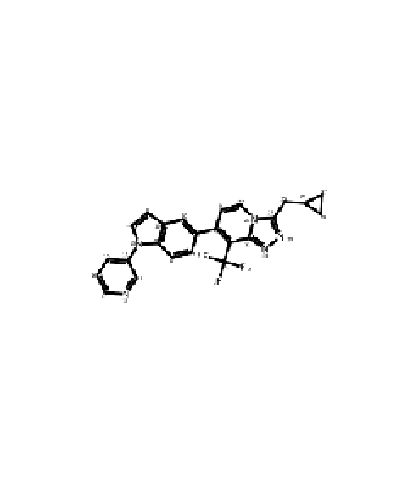 FC(F)(F)c1c(-c2ccc3c(ccn3-c3cccnc3)c2)ccn2c(CC3CC3)nnc12